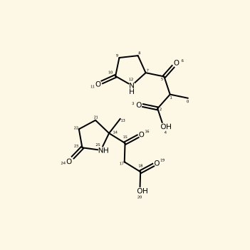 CC(C(=O)O)C(=O)C1CCC(=O)N1.CC1(C(=O)CC(=O)O)CCC(=O)N1